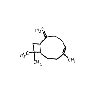 C=C1CCC=C(C)CCC2C1CC2(C)C